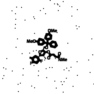 CNC(=O)CCC(=O)OC1[C@@H](COC(c2ccccc2)(c2ccc(OC)cc2)c2ccc(OC)cc2)O[C@@H](c2cc(C)c(F)cc2F)[C@H]1C